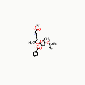 CC(C)OC(=O)/C=C/CC[C@@H](C)O[C@@H]1O[C@@H](C)[C@H](O[SiH2]C(C)(C)C)C[C@H]1OC(=O)c1ccccc1